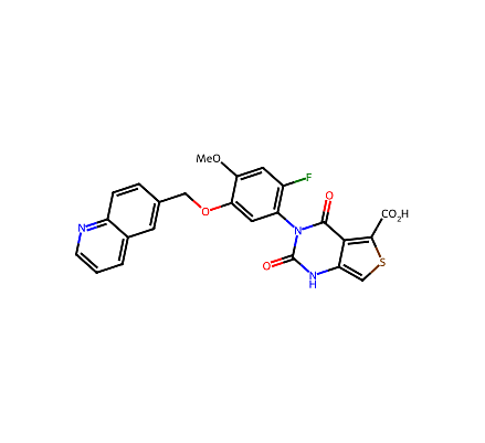 COc1cc(F)c(-n2c(=O)[nH]c3csc(C(=O)O)c3c2=O)cc1OCc1ccc2ncccc2c1